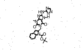 Cn1c(Nc2ncn[nH]2)nc2c1c(=O)n(Cc1cc3ccccc3n1C(=O)OC(C)(C)C)c(=O)n2C